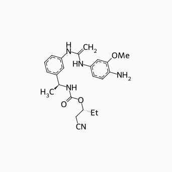 C=C(Nc1cccc([C@H](C)NC(=O)O[C@H](CC)CC#N)c1)Nc1ccc(N)c(OC)c1